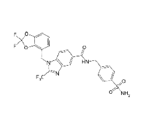 NS(=O)(=O)c1ccc(CNC(=O)c2ccc3c(c2)nc(C(F)(F)F)n3Cc2cccc3c2OC(F)(F)O3)cc1